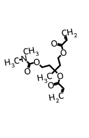 C=CC(=O)OCCC(C)(CCOC(=O)N(C)C)OC(=O)C=C